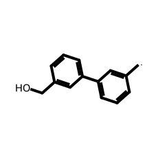 [CH2]c1cccc(-c2cccc(CO)c2)c1